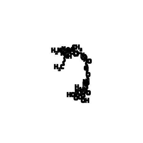 CCCCCNc1nc(N)nc2ccn(Cc3ccc(CN4CCN(C(=O)CCOCCOCCn5cc(CNC(=O)C(CC(=O)O)SCC(N)C(=O)O)nn5)CC4)cc3OC)c12